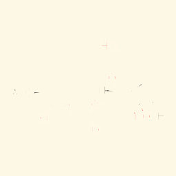 CC(=O)O[C@@H](C)C(=O)O[C@@H](C)C(=O)OC1=CC[C@@]2(O)[C@@H]3CCC[C@@]24c2c(ccc(O)c2O[C@@H]14)C3